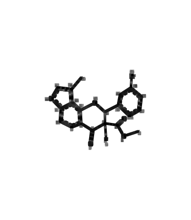 COC(=O)C1(F)C(=O)c2ccc3occ(C)c3c2OC1c1cccc(Br)c1